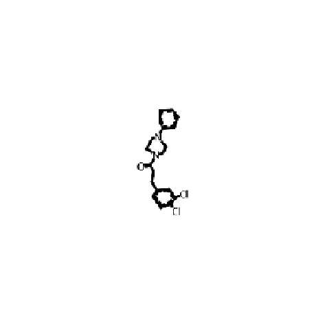 O=C(CCc1ccc(Cl)c(Cl)c1)N1CCN(c2ccccc2)CC1